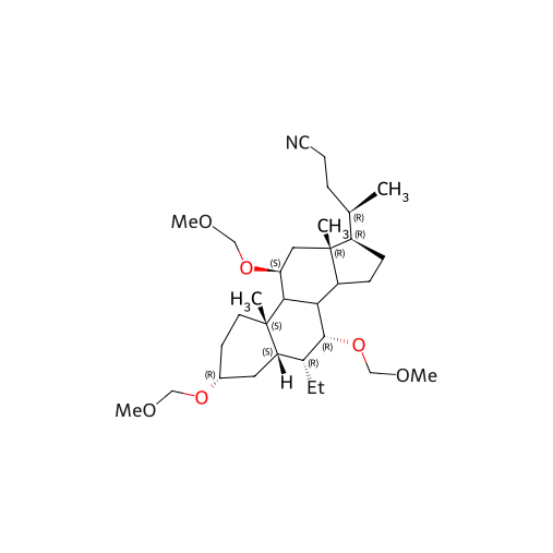 CC[C@H]1[C@@H](OCOC)C2C3CC[C@H]([C@H](C)CCC#N)[C@@]3(C)C[C@H](OCOC)C2[C@@]2(C)CC[C@@H](OCOC)C[C@@H]12